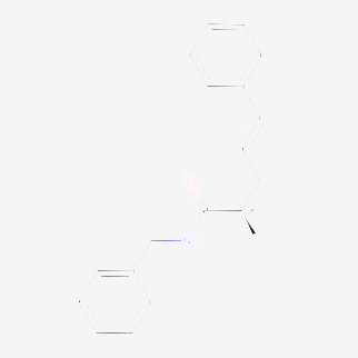 C[C@H](C/C=C/c1ccccc1)C(=O)NCc1ccccc1